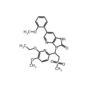 CCOc1nc(C(CS(C)(=O)=O)n2c(=O)[nH]c3cc(-c4ccccc4OC)cnc32)ccc1OC